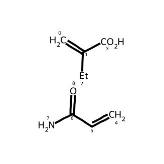 C=C(CC)C(=O)O.C=CC(N)=O